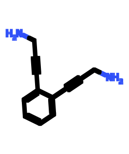 NCC#Cc1ccccc1C#CCN